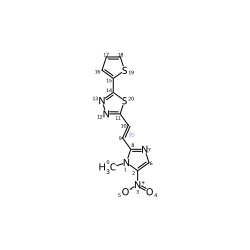 Cn1c([N+](=O)[O-])cnc1/C=C/c1nnc(-c2cccs2)s1